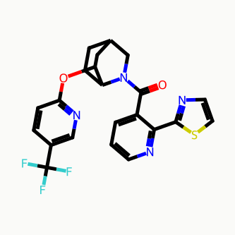 O=C(c1cccnc1-c1nccs1)N1CC2CCC1C(Oc1ccc(C(F)(F)F)cn1)C2